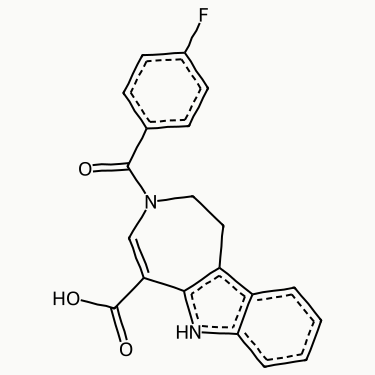 O=C(O)C1=CN(C(=O)c2ccc(F)cc2)CCc2c1[nH]c1ccccc21